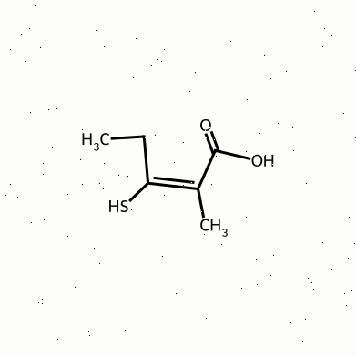 CC/C(S)=C(/C)C(=O)O